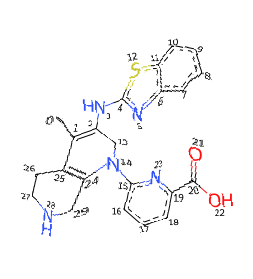 CC1=C(Nc2nc3ccccc3s2)CN(c2cccc(C(=O)O)n2)C2=C1CCNC2